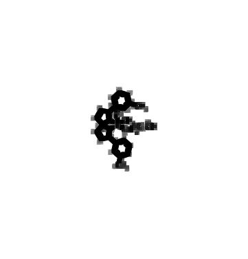 Cc1cccc(C2=[C]([Hf]([CH3])([CH3])(=[GeH2])[C]3=C(c4cccc(C)c4)C=CC3)CC=C2)c1.Cl.Cl